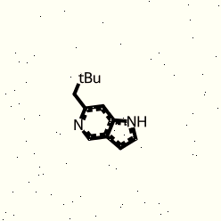 CC(C)(C)Cc1cc2[nH]ccc2cn1